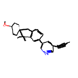 CC#Cc1cncc(-c2ccc3c(c2)C(C)(C)[C@]2(CC[C@H](OC)CC2)C3)c1